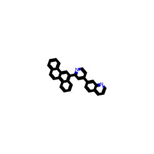 c1cnc2cc(-c3ccnc(-c4cc5c6ccccc6ccc5c5ccccc45)c3)ccc2c1